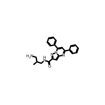 CC(CN)CNC(=O)c1cc2nc(-c3ccccc3)cc(-c3ccccc3)n2n1